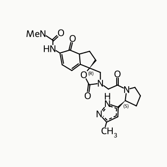 CNC(=O)NC1=CC=C2C(CC[C@]23CN(CC(=O)N2CCC[C@H]2c2cc(C)n[nH]2)C(=O)O3)C1=O